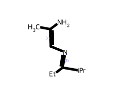 CC/C(=N\C=C(\C)N)C(C)C